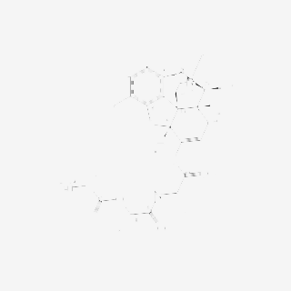 Cc1ccc2c3c1O[C@H]1C(OC(=O)[C@H](C)NC(=O)[C@H](C)OC(=O)OC(C)(C)C)=CC[C@@]4(O)[C@@H](C2)N(C)CC[C@]314